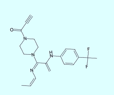 C#CC(=O)N1CCN(/C(=N/C=C\C)C(=C)Nc2ccc(C(C)(F)F)cc2)CC1